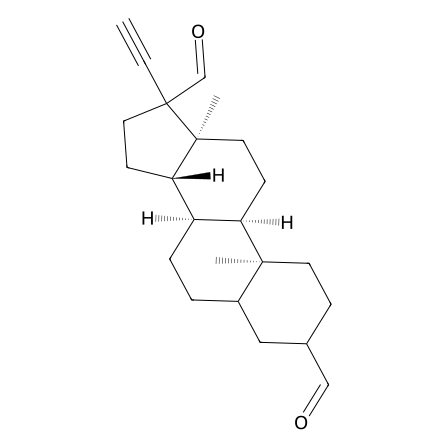 C#CC1(C=O)CC[C@H]2[C@@H]3CCC4CC(C=O)CC[C@]4(C)[C@@H]3CC[C@@]21C